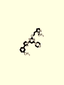 Cc1cccc(-c2ccn(-c3cc(N4CCOCC4)nc(OCCc4ccnn4C)n3)n2)c1